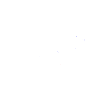 CC(C)N(C(=O)CN1C(=O)Cn2cnnc2-c2ccccc21)c1ccccc1